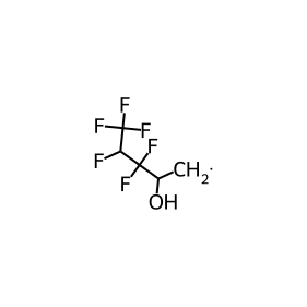 [CH2]C(O)C(F)(F)C(F)C(F)(F)F